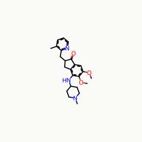 COc1cc2c(c(NC3CCN(C)CC3)c1OC)CC(Cc1ncccc1C)C2=O